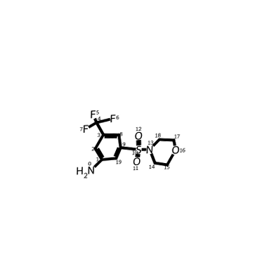 Nc1cc(C(F)(F)F)cc(S(=O)(=O)N2CCOCC2)c1